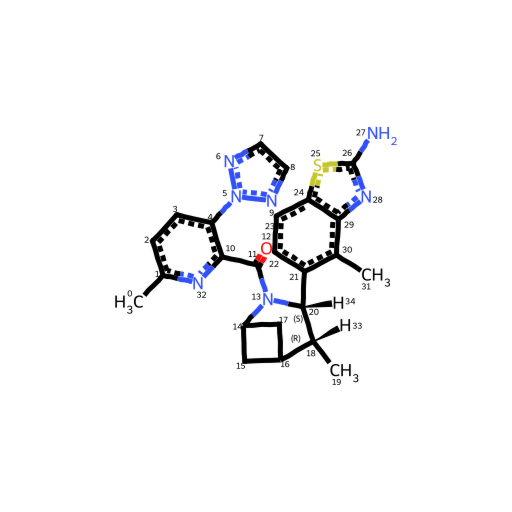 Cc1ccc(-n2nccn2)c(C(=O)N2C3CC(C3)[C@@H](C)[C@H]2c2ccc3sc(N)nc3c2C)n1